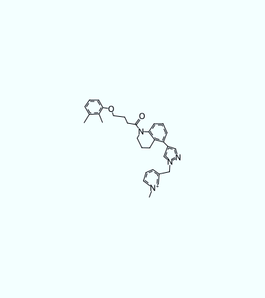 Cc1cccc(OCCCC(=O)N2CCCc3c(-c4cnn(Cc5ccc[n+](C)c5)c4)cccc32)c1C